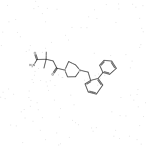 CC(C)(CC(=O)N1CCN(Cc2ccccc2-c2ccccc2)CC1)C(N)=O